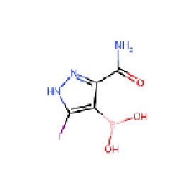 NC(=O)c1n[nH]c(I)c1B(O)O